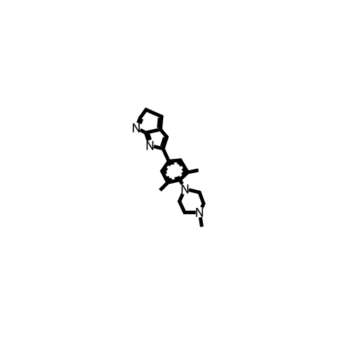 Cc1cc(C2=CC3=CCC=NC3=N2)cc(C)c1N1CCN(C)CC1